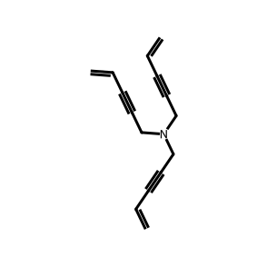 C=CC#CCN(CC#CC=C)CC#CC=C